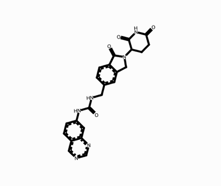 O=C1CCC(N2Cc3cc(CNC(=O)Nc4ccc5cncnc5c4)ccc3C2=O)C(=O)N1